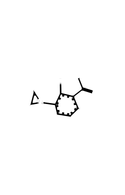 C=C(C)c1cccc(N2CC2)c1CC